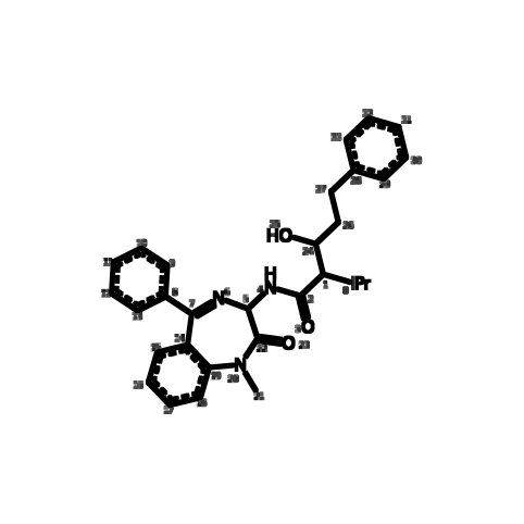 CC(C)C(C(=O)NC1N=C(c2ccccc2)c2ccccc2N(C)C1=O)C(O)CCc1ccccc1